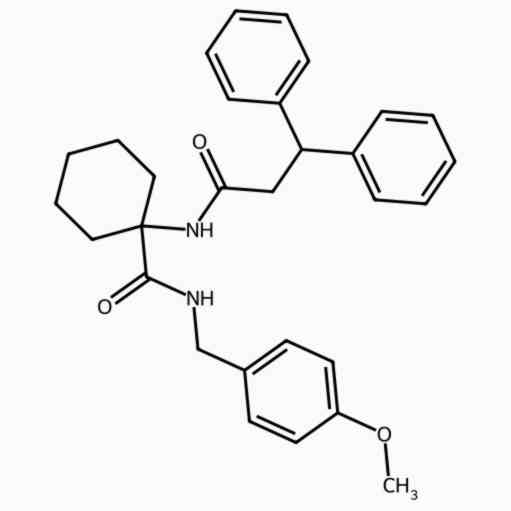 COc1ccc(CNC(=O)C2(NC(=O)CC(c3ccccc3)c3ccccc3)CCCCC2)cc1